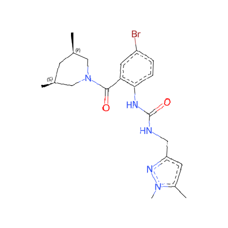 Cc1cc(CNC(=O)Nc2ccc(Br)cc2C(=O)N2C[C@H](C)C[C@H](C)C2)nn1C